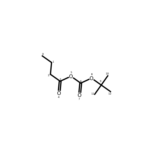 CCCC(=O)OC(=O)OC(C)(C)C